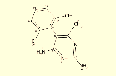 Cc1nc(N)nc(N)c1-c1c(Cl)cccc1Cl